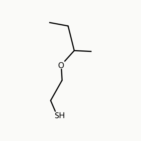 CCC(C)OCCS